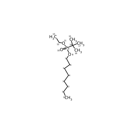 CCCCCCCCOP(=O)(OCC)C(C)(C)C